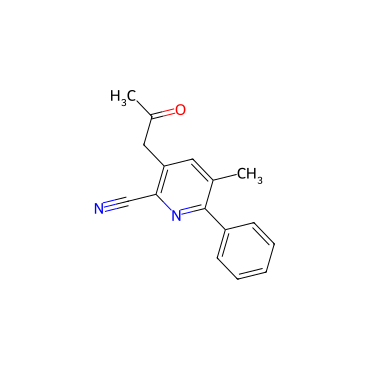 CC(=O)Cc1cc(C)c(-c2ccccc2)nc1C#N